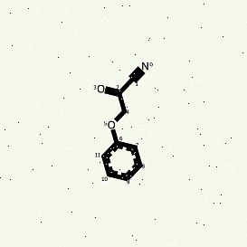 N#CC(=O)COc1ccccc1